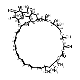 C[C@@H]1[C@H](O)[C@@H](C)/C=C/C=C/C=C/C=C/C=C/C=C/C=C/C(OC2OC(CO)C(O)C(O)C2F)C[C@@H]2OC(O)(CC(O)CC(O)C(O)CCC(O)CC(O)CC(=O)O[C@H]1C)C[C@H](O)C2C(=O)O